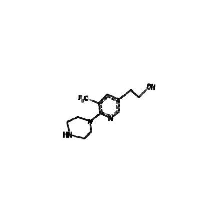 OCCc1cnc(N2CCNCC2)c(C(F)(F)F)c1